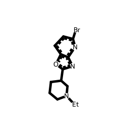 CCN1CCCC(c2nc3nc(Br)ccc3o2)C1